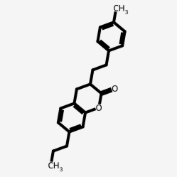 CCCc1ccc2c(c1)OC(=O)C(CCc1ccc(C)cc1)C2